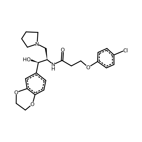 O=C(CCOc1ccc(Cl)cc1)N[C@H](CN1CCCC1)[C@H](O)c1ccc2c(c1)OCCO2